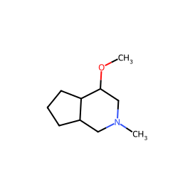 COC1CN(C)CC2CCCC21